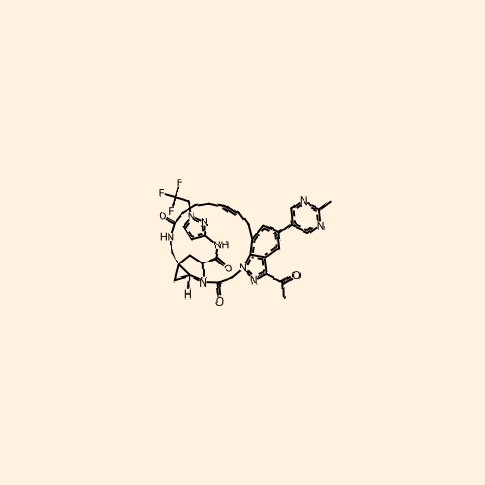 CC(=O)c1nn2c3c(cc(-c4cnc(C)nc4)cc13)CC=CCCCC(=O)NC[C@@]13C[C@@H](C(=O)Nc4ccn(CC(F)(F)F)n4)N(C(=O)C2)[C@@H]1C3